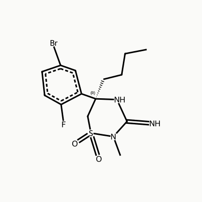 CCCC[C@@]1(c2cc(Br)ccc2F)CS(=O)(=O)N(C)C(=N)N1